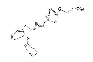 OCCOc1ccc(CC=CCc2ccccc2Cc2ccccc2)cc1